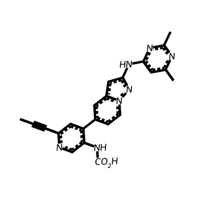 CC#Cc1cc(-c2ccn3nc(Nc4cc(C)nc(C)n4)cc3c2)c(NC(=O)O)cn1